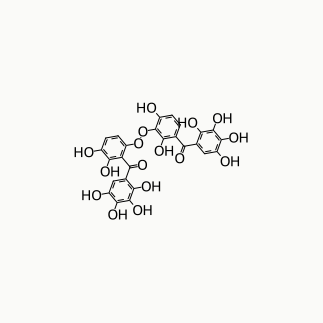 O=C(c1cc(O)c(O)c(O)c1O)c1ccc(O)c(OOc2ccc(O)c(O)c2C(=O)c2cc(O)c(O)c(O)c2O)c1O